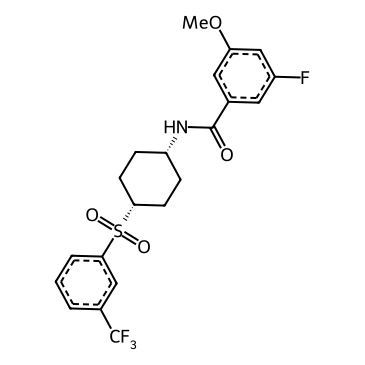 COc1cc(F)cc(C(=O)N[C@H]2CC[C@@H](S(=O)(=O)c3cccc(C(F)(F)F)c3)CC2)c1